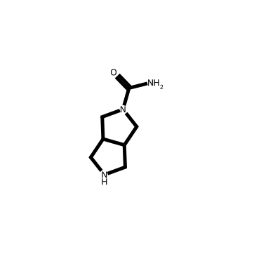 NC(=O)N1CC2CNCC2C1